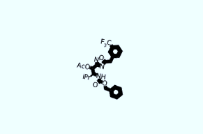 CC(=O)OC(c1noc(Cc2cccc(C(F)(F)F)c2)n1)[C@@H](NC(=O)OCc1ccccc1)C(C)C